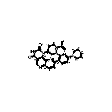 C=C(C)N1CCC(n2c(=O)[nH]c(=O)c3cnc4ccc(-c5ccc(N6CCOCC6)nc5)nc4c32)CC1